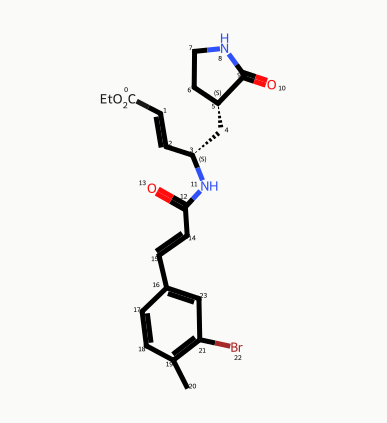 CCOC(=O)C=C[C@H](C[C@@H]1CCNC1=O)NC(=O)C=Cc1ccc(C)c(Br)c1